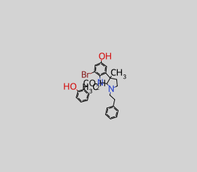 CN1c2c(Br)cc(O)cc2C2(C)CCN(CCc3ccccc3)C12.O=C(O)c1ccccc1O